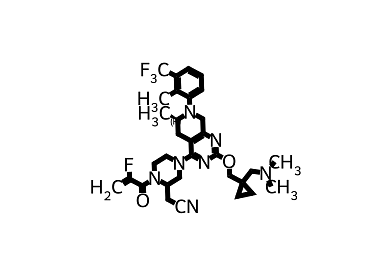 C=C(F)C(=O)N1CCN(c2nc(OCC3(CN(C)C)CC3)nc3c2C[C@@H](C)N(c2cccc(C(F)(F)F)c2C)C3)CC1CC#N